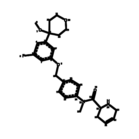 COC1(c2cc(F)cc(OCc3ccc(N(C)C(=O)C4CC=CCN4)cc3)c2)CCOCC1